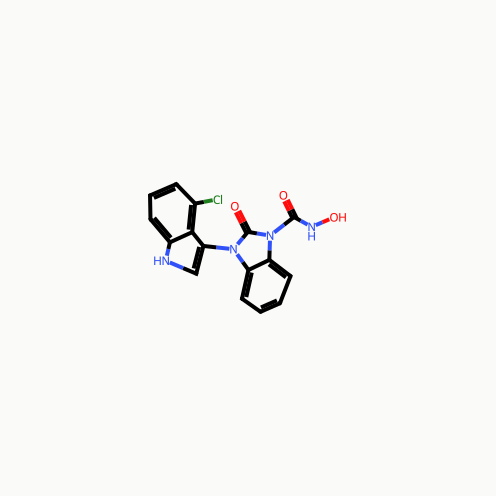 O=C(NO)n1c(=O)n(-c2c[nH]c3cccc(Cl)c23)c2ccccc21